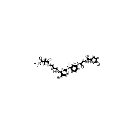 CC(C)(C(N)=O)C(=O)NCCCNc1nc(Nc2cccc(NC(=O)CNC(=O)C3CCC(=O)S3)c2)ncc1Br